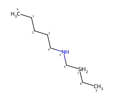 CCCCCNC[SiH2]CC